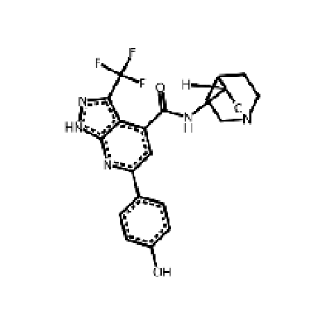 O=C(N[C@H]1CN2CCC1CC2)c1cc(-c2ccc(O)cc2)nc2[nH]nc(C(F)(F)F)c12